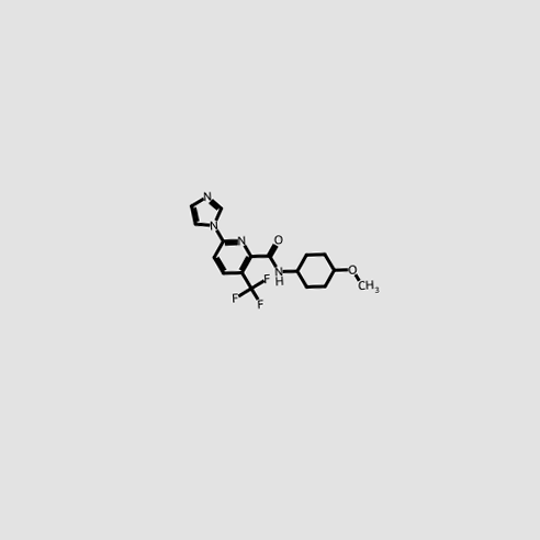 COC1CCC(NC(=O)c2nc(-n3ccnc3)ccc2C(F)(F)F)CC1